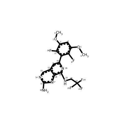 COc1cc(OC)c(F)c(-c2cc3cnc(N)nc3c(NCC(F)(F)F)n2)c1F